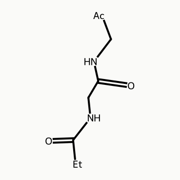 CCC(=O)NCC(=O)NCC(C)=O